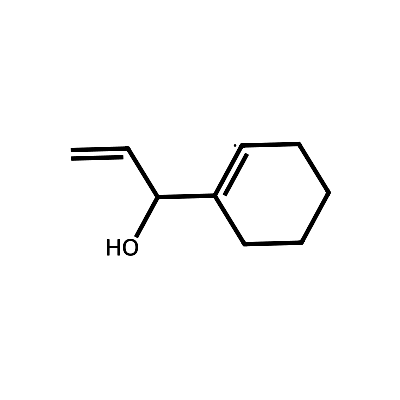 C=CC(O)C1=[C]CCCC1